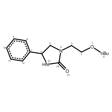 CCCCOCCN1CC(c2ccccc2)NC1=O